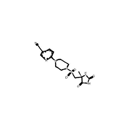 C[C@@]1(CS(=O)(=O)N2CCN(c3ccc(C#N)cn3)CC2)NC(=O)NC1=O